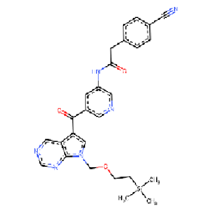 C[Si](C)(C)CCOCn1cc(C(=O)c2cncc(NC(=O)Cc3ccc(C#N)cc3)c2)c2cncnc21